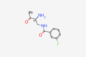 CC(C)C(=O)[C@@H](N)CNC(=O)c1cccc(F)c1